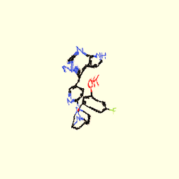 Oc1cc(F)cc(CN2C3CC2CN(c2ccc(-c4ncnc5[nH]ccc45)cn2)C3)c1